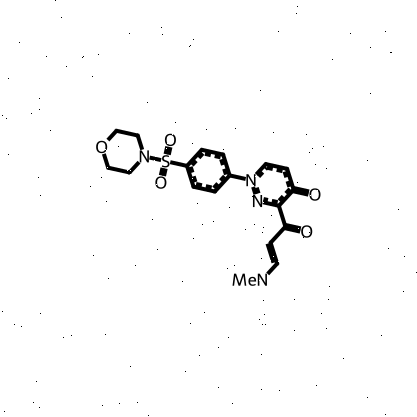 CNC=CC(=O)c1nn(-c2ccc(S(=O)(=O)N3CCOCC3)cc2)ccc1=O